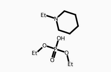 CCN1CCCCC1.CCOP(=O)(O)OCC